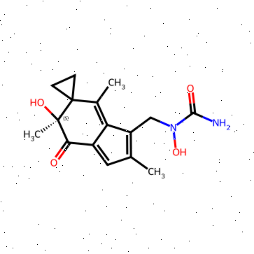 CC1=C(CN(O)C(N)=O)C2=C(C)C3(CC3)[C@](C)(O)C(=O)C2=C1